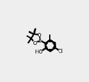 Cc1cc(Cl)cc(O)c1B1OC(C)(C)C(C)(C)O1